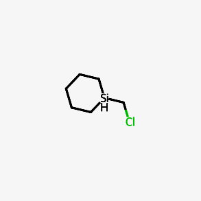 ClC[SiH]1CCCCC1